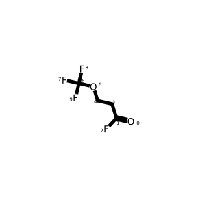 O=C(F)CCOC(F)(F)F